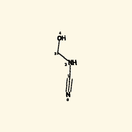 N#CN[CH]O